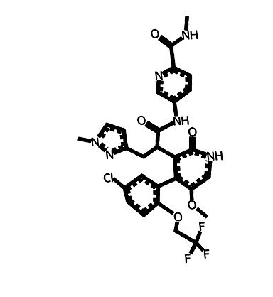 CNC(=O)c1ccc(NC(=O)C(Cc2ccn(C)n2)c2c(-c3cc(Cl)ccc3OCC(F)(F)F)c(OC)c[nH]c2=O)cn1